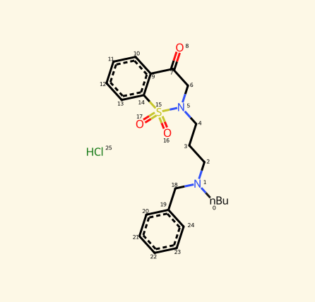 CCCCN(CCCN1CC(=O)c2ccccc2S1(=O)=O)Cc1ccccc1.Cl